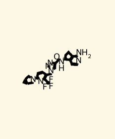 Nc1nccc2c1CC[C@H]2NC(=O)c1cn(Cc2ccc(N3CC4CC4C3)nc2C(F)(F)F)nn1